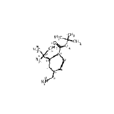 CC(C)(C)OC(=O)N1CCC(CN)CC1C(C)(C)C